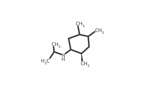 CC(C)NC1CC(C)C(C)C[C@H]1C